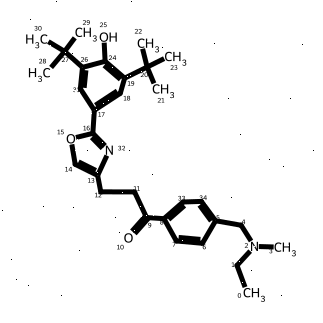 CCN(C)Cc1ccc(C(=O)CCc2coc(-c3cc(C(C)(C)C)c(O)c(C(C)(C)C)c3)n2)cc1